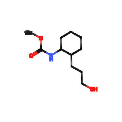 CC(C)(C)OC(=O)NC1CCCCC1CCCO